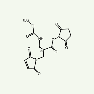 CC(C)(C)OC(=O)NC[C@H](CN1C(=O)C=CC1=O)C(=O)ON1C(=O)CCC1=O